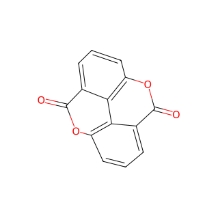 O=c1oc2cccc3c(=O)oc4cccc1c4c23